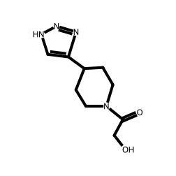 O=C(CO)N1CCC(c2c[nH]nn2)CC1